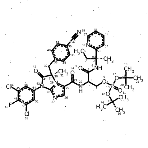 CC[C@](C)(NC(=O)C(COP(=O)(OC(C)(C)C)OC(C)(C)C)NC(=O)c1cnc2n1[C@](C)(Cc1ccc(C#N)cc1)C(=O)N2c1cc(Cl)c(F)c(Cl)c1)c1ccccn1